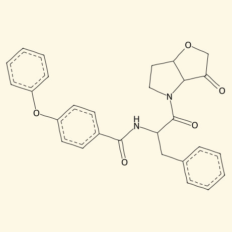 O=C(NC(Cc1ccccc1)C(=O)N1CCC2OCC(=O)C21)c1ccc(Oc2ccccc2)cc1